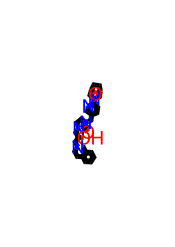 O=C1N(Cc2ccc(N3CC4CCC(C3)O4)nc2)CCN1CC(O)CN1CCc2ccccc2C1